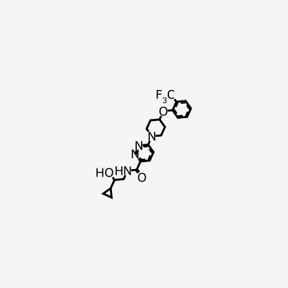 O=C(NCC(O)C1CC1)c1ccc(N2CCC(Oc3ccccc3C(F)(F)F)CC2)nn1